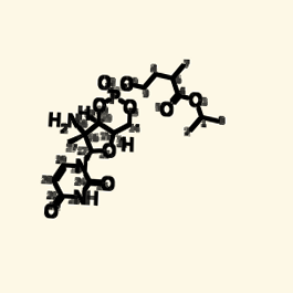 CC(C)OC(=O)C(C)CCO[P@]1(=O)OC[C@H]2O[C@@H](n3ccc(=O)[nH]c3=O)[C@](C)(N)[C@@H]2O1